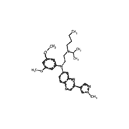 CCCCN(CCN(c1cc(OC)cc(OC)c1)c1ccc2ncc(-c3cnn(C)c3)nc2c1)C(C)C